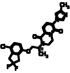 Cc1cn(-c2ccc3n(c2=O)CCN([C@@H](C)COc2ccc(Cl)c4c2CC(F)(F)C4)C3=O)cn1